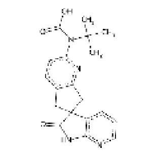 CC(C)(C)N(C(=O)O)c1ccc2c(n1)CC1(C2)C(=O)Nc2ncccc21